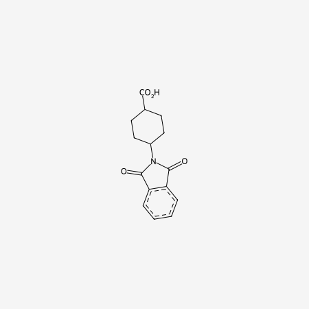 O=C(O)C1CCC(N2C(=O)c3ccccc3C2=O)CC1